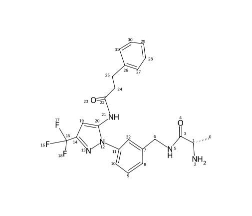 C[C@H](N)C(=O)NCc1cccc(-n2nc(C(F)(F)F)cc2NC(=O)CCc2ccccc2)c1